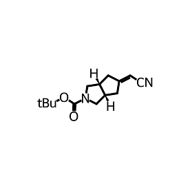 CC(C)(C)OC(=O)N1C[C@H]2CC(=CC#N)C[C@H]2C1